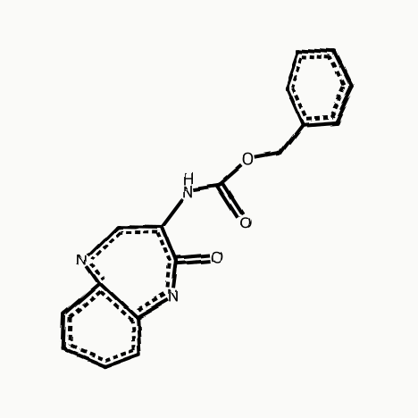 O=C(Nc1cnc2ccccc2nc1=O)OCc1ccccc1